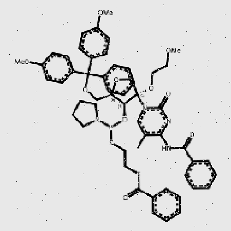 COCCO[C@@]1(n2cc(C)c(NC(=O)c3ccccc3)nc2=O)CO[C@H](COC(c2ccccc2)(c2ccc(OC)cc2)c2ccc(OC)cc2)[C@@H]1OP(SCCSC(=O)c1ccccc1)N1CCCC1